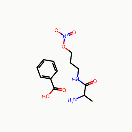 CC(N)C(=O)NCCCO[N+](=O)[O-].O=C(O)c1ccccc1